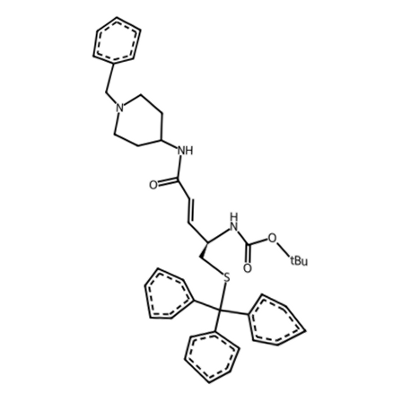 CC(C)(C)OC(=O)N[C@H](/C=C/C(=O)NC1CCN(Cc2ccccc2)CC1)CSC(c1ccccc1)(c1ccccc1)c1ccccc1